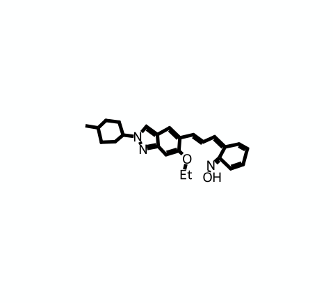 CCOc1cc2nn(C3CCC(C)CC3)cc2cc1/C=C/C=C1/C=CC=C/C1=N\O